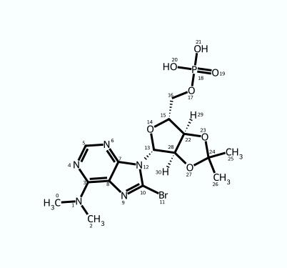 CN(C)c1ncnc2c1nc(Br)n2[C@@H]1O[C@H](COP(=O)(O)O)[C@H]2OC(C)(C)O[C@H]21